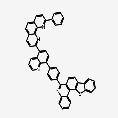 c1ccc(-c2ccc3ccc4ccc(-c5ccc(-c6ccc(-c7nc8ccccc8c8c7ccc7c9ccccc9sc78)cc6)c6ncccc56)nc4c3n2)cc1